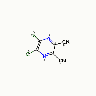 N#Cc1nc(Cl)c(Cl)nc1C#N